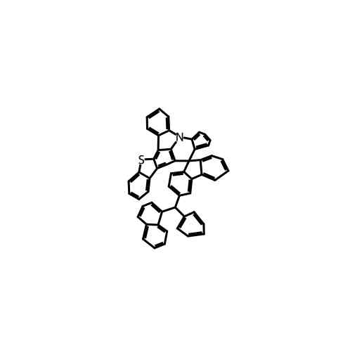 c1ccc(C(c2ccc3c(c2)-c2ccccc2C32c3ccccc3-n3c4ccccc4c4c5sc6ccccc6c5cc2c43)c2cccc3ccccc23)cc1